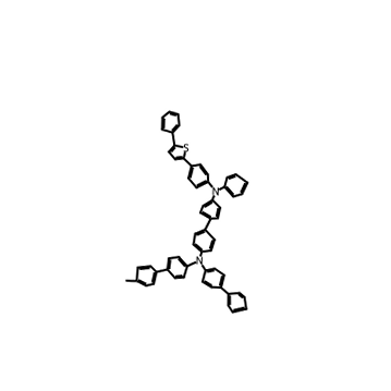 Cc1ccc(-c2ccc(N(c3ccc(-c4ccccc4)cc3)c3ccc(-c4ccc(N(c5ccccc5)c5ccc(-c6ccc(-c7ccccc7)s6)cc5)cc4)cc3)cc2)cc1